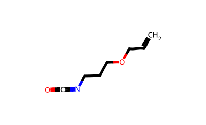 C=CCOCCCN=C=O